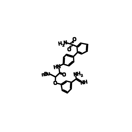 CCCCC(Oc1cccc(C(=N)N)c1)C(=O)Nc1ccc(-c2ccccc2S(N)(=O)=O)cc1